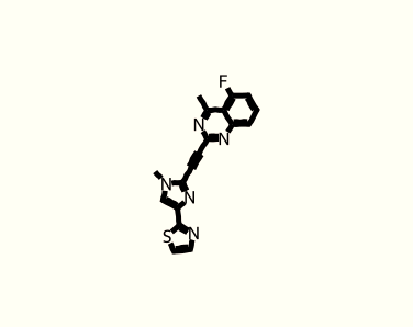 Cc1nc(C#Cc2nc(-c3nccs3)cn2C)nc2cccc(F)c12